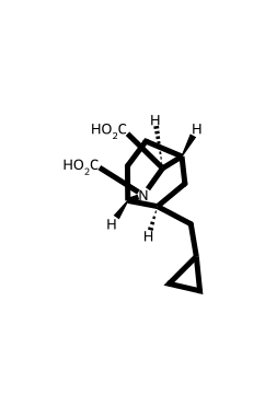 O=C(O)[C@H]1[C@@H]2CC[C@@H]([C@H](CC3CC3)C2)N1C(=O)O